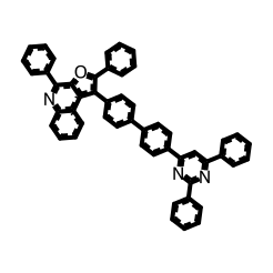 c1ccc(-c2cc(-c3ccc(-c4ccc(-c5c(-c6ccccc6)oc6c(-c7ccccc7)nc7ccccc7c56)cc4)cc3)nc(-c3ccccc3)n2)cc1